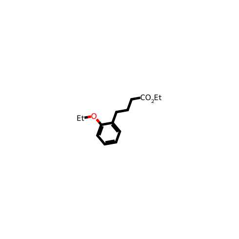 CCOC(=O)CCCc1ccccc1OCC